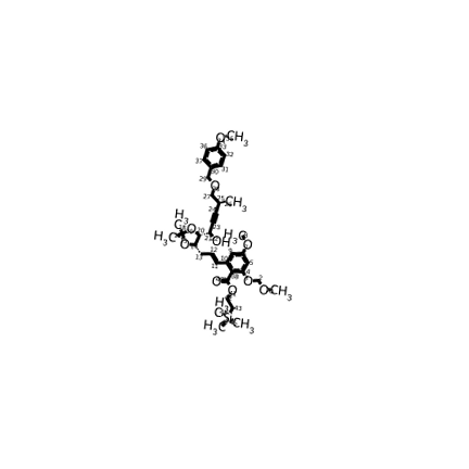 COCOc1cc(OC)cc(/C=C/C[C@@H]2OC(C)(C)O[C@@H]2C(O)C#C[C@H](C)COCc2ccc(OC)cc2)c1C(=O)OCC[Si](C)(C)C